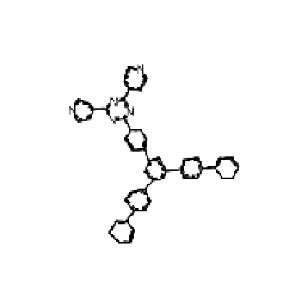 C1=CCCC(c2ccc(-c3cc(C4=CCC(c5nc(-c6ccncc6)nc(-c6ccncc6)n5)C=C4)cc(-c4ccc(C5=CCCC=C5)cc4)c3)cc2)=C1